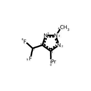 CC(C)c1nn(C)nc1C(F)F